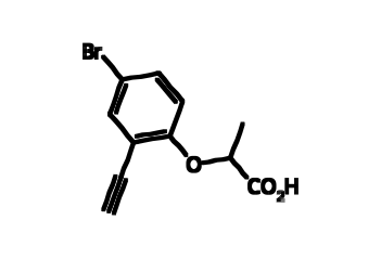 C#Cc1cc(Br)ccc1OC(C)C(=O)O